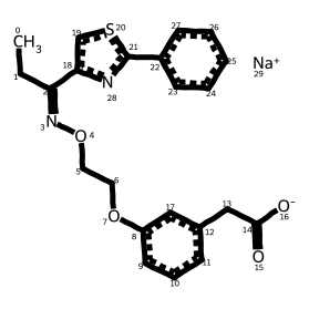 CCC(=NOCCOc1cccc(CC(=O)[O-])c1)c1csc(-c2ccccc2)n1.[Na+]